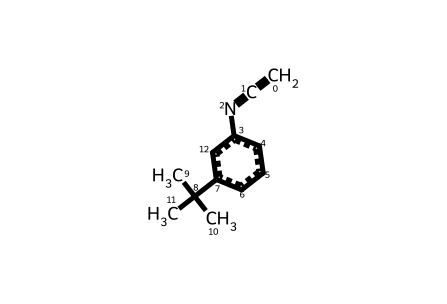 C=C=Nc1cccc(C(C)(C)C)c1